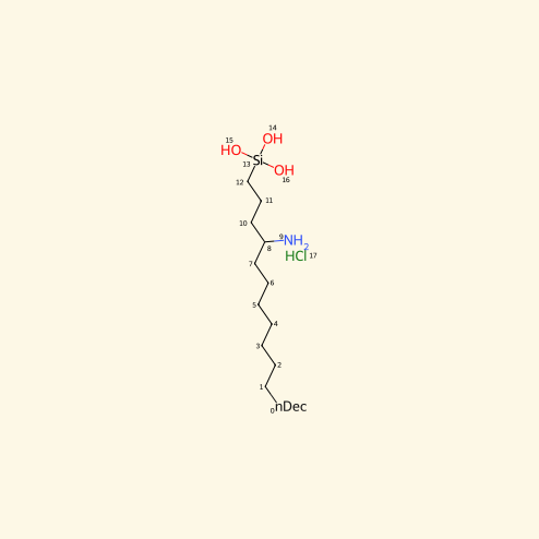 CCCCCCCCCCCCCCCCCC(N)CCC[Si](O)(O)O.Cl